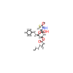 C=CCCC(C)=CC(=O)O[C@@H]1C[C@@H](CCc2ccccc2)O[C@@](O)([C@@H]2CSC(=O)N2)C1